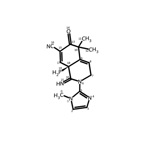 Cn1ccnc1N1CC=C2C(C)(C)C(=O)C(C#N)=C[C@@]2(P)C1=N